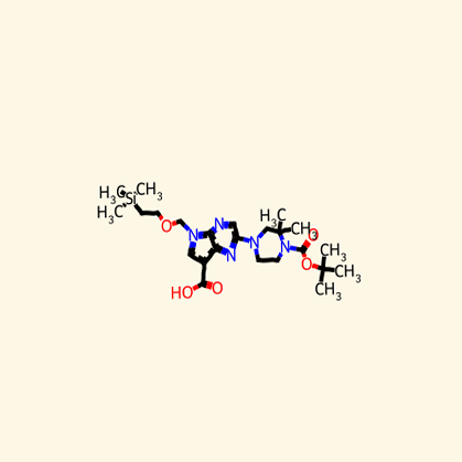 CC(C)(C)OC(=O)N1CCN(c2cnc3c(n2)c(C(=O)O)cn3COCC[Si](C)(C)C)CC1(C)C